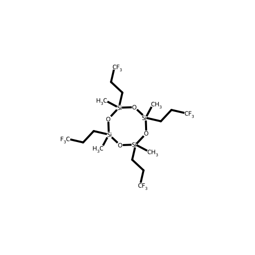 C[Si]1(CCC(F)(F)F)O[Si](C)(CCC(F)(F)F)O[Si](C)(CCC(F)(F)F)O[Si](C)(CCC(F)(F)F)O1